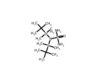 CC(C)(C)[Si](C)(C)N([Si](C)(C)C(C)(C)C)P(N)(N)=O